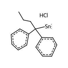 CCC[C]([Sn])(c1ccccc1)c1ccccc1.Cl